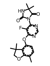 Cc1ccc(Oc2ncnc(N3C(=O)NC(C)(C)C3=O)c2F)c2c1OCC2(C)C